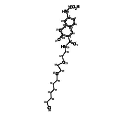 O=C(O)Nc1ccc2cc(C(=O)NCCOCCOCCCCCCCl)c(=O)oc2c1